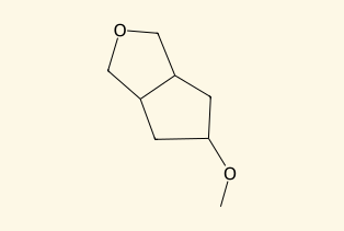 COC1CC2COCC2C1